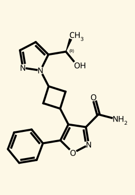 C[C@@H](O)c1ccnn1C1CC(c2c(C(N)=O)noc2-c2ccccc2)C1